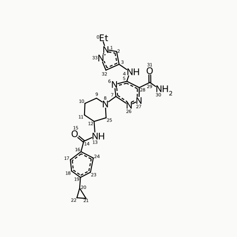 CCn1cc(Nc2nc(N3CCCC(NC(=O)c4ccc(C5CC5)cc4)C3)nnc2C(N)=O)cn1